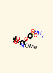 COc1ncc(B2OC(C)(C)C(C)(C)O2)cc1COc1ccc(S(N)(=O)=O)cc1